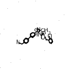 Cc1noc(-c2ccc(-c3ccc(CC#N)cc3)cc2)c1NC(=O)OCCc1ccccc1Cl